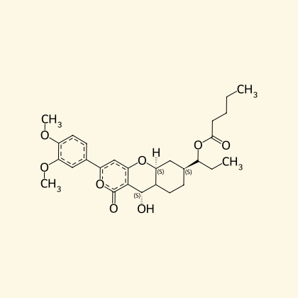 CCCCC(=O)OC(CC)[C@H]1CCC2[C@H](C1)Oc1cc(-c3ccc(OC)c(OC)c3)oc(=O)c1[C@H]2O